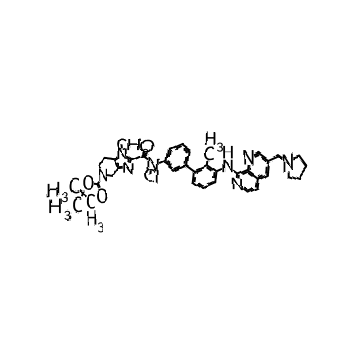 Cc1c(Nc2nccc3cc(CN4CCCC4)cnc23)cccc1-c1cccc(N(Cl)C(=O)c2nc3c(n2C)CCN(C(=O)OC(C)(C)C)C3)c1